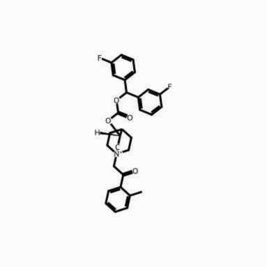 Cc1ccccc1C(=O)C[N+]12CCC(CC1)[C@@H](OC(=O)OC(c1cccc(F)c1)c1cccc(F)c1)C2